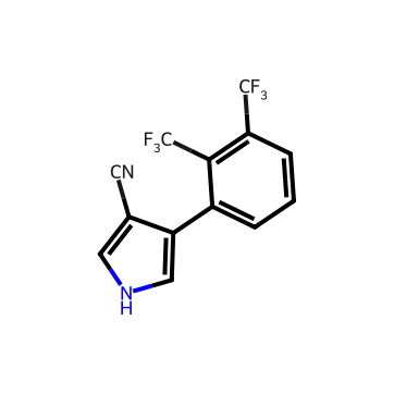 N#Cc1c[nH]cc1-c1cccc(C(F)(F)F)c1C(F)(F)F